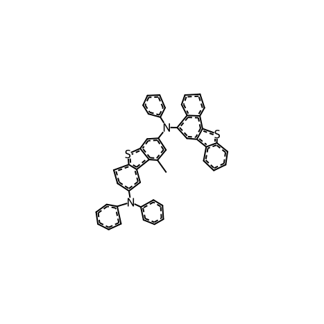 Cc1cc(N(c2ccccc2)c2cc3c4ccccc4sc3c3ccccc23)cc2sc3ccc(N(c4ccccc4)c4ccccc4)cc3c12